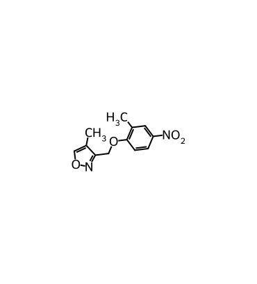 Cc1cc([N+](=O)[O-])ccc1OCc1nocc1C